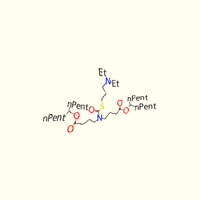 CCCCCC(CCCCC)OC(=O)CCCN(CCCC(=O)OC(CCCCC)CCCCC)C(=O)SCCCN(CC)CC